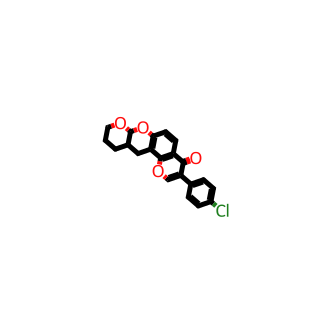 O=c1c(-c2ccc(Cl)cc2)coc2c3c(ccc12)OC1OCCCC1C3